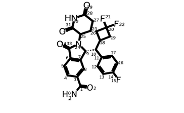 NC(=O)c1ccc2c(c1)[C@@H](C(c1ccc(F)cc1)C1CC(F)(F)C1)N(C1CCC(=O)NC1=O)C2=O